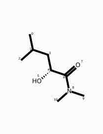 CC(C)C[C@@H](O)C(=O)N(C)C